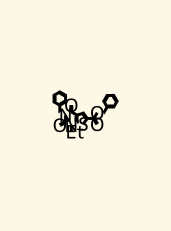 CCn1c(=O)n(Cc2ccccc2)c(=O)c2cc(C(=O)OCc3ccccc3)sc21